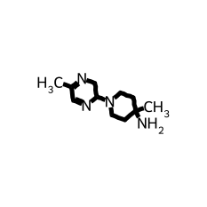 CC1=NCC(N2CCC(C)(N)CC2)N=C1